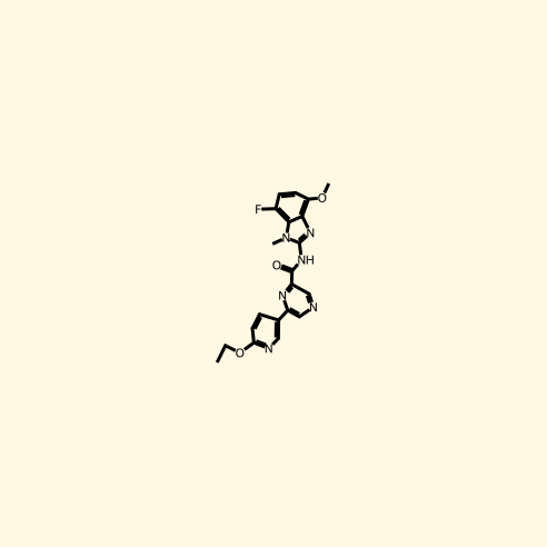 CCOc1ccc(-c2cncc(C(=O)Nc3nc4c(OC)ccc(F)c4n3C)n2)cn1